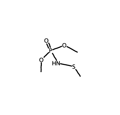 COP(=O)(NSC)OC